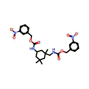 CC1(C)CC(NC(=O)OCc2cccc([N+](=O)[O-])c2)CC(C)(CNC(=O)OCc2cccc([N+](=O)[O-])c2)C1